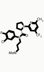 CNCCCN(C(=O)[C@@H]1CCCN1c1cc(C(F)(F)F)cc(C)n1)c1ccc(F)c(Cl)c1